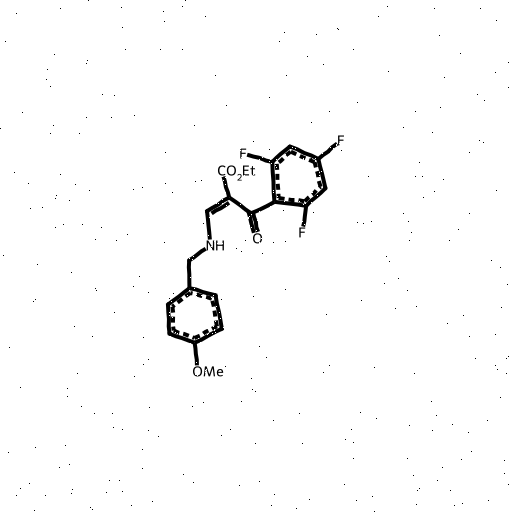 CCOC(=O)C(=CNCc1ccc(OC)cc1)C(=O)c1c(F)cc(F)cc1F